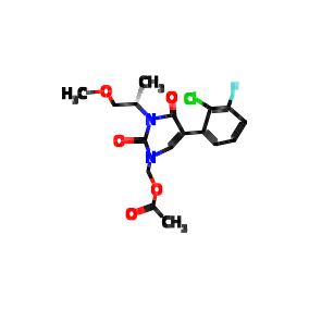 COC[C@H](C)n1c(=O)c(-c2cccc(F)c2Cl)cn(COC(C)=O)c1=O